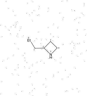 [CH2]CCC1CCN1